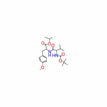 COc1ccc(CC(NC(=O)C(NC(=O)OC(C)(C)C)C(C)C)C(=O)OC(C)C)cc1